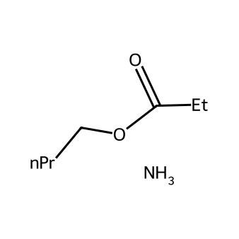 CCCCOC(=O)CC.N